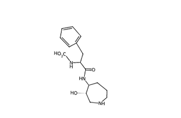 O=C(O)NC(Cc1ccccc1)C(=O)NC1CCCNC[C@@H]1O